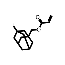 C=CC(=O)OCC12CC3CC(CC(I)(C3)C1)C2